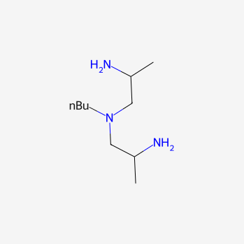 CCCCN(CC(C)N)CC(C)N